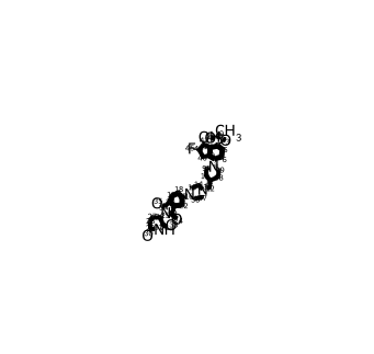 CS(=O)(=O)c1ccc(N2CCC(CN3CCN(c4ccc5c(c4)C(=O)N(C4CCC(=O)NC4=O)C5=O)CC3)CC2)c2c1[C@H](O)[C@@H](F)C2